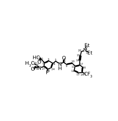 C#Cc1cc(CNC(=O)C=Cc2ccc(C(F)(F)F)cc2C#CCN(CC)CC)cc(F)c1NS(C)(=O)=O